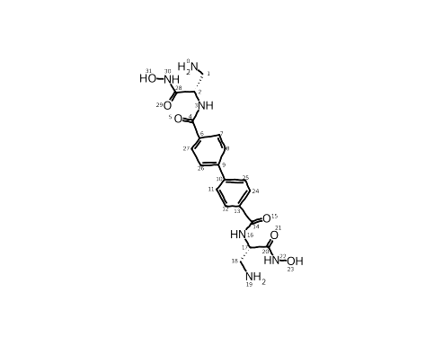 NC[C@H](NC(=O)c1ccc(-c2ccc(C(=O)N[C@@H](CN)C(=O)NO)cc2)cc1)C(=O)NO